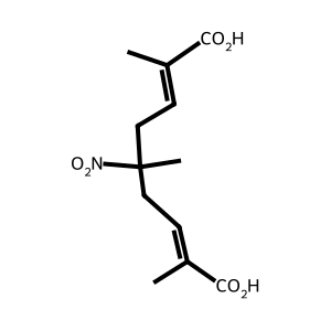 CC(=CCC(C)(CC=C(C)C(=O)O)[N+](=O)[O-])C(=O)O